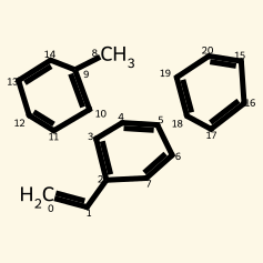 C=Cc1ccccc1.Cc1ccccc1.c1ccccc1